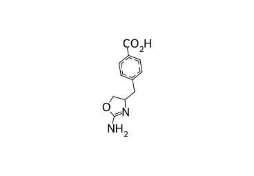 NC1=NC(Cc2ccc(C(=O)O)cc2)CO1